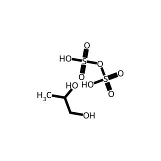 CC(O)CO.O=S(=O)(O)OS(=O)(=O)O